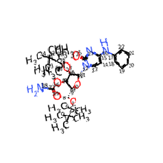 CC(C)(C)[Si](C)(C)OC[C@H]1O[C@@H](n2ccc(Nc3ccccc3)nc2=O)[C@H](O[Si](C)(C)C(C)(C)C)[C@@H]1OC(N)=O